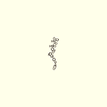 COc1ccccc1NC(=O)CC(=O)Nc1ccc(Oc2ccnc3cc(-c4ccc(OCCN5CCOCC5)cc4)sc23)c(F)c1